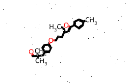 Cc1ccc(-c2cc(CCCOc3ccc(CC(C)(C)C=O)cc3)c(C)o2)cc1